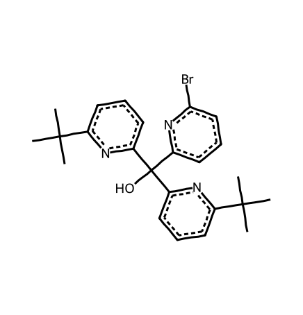 CC(C)(C)c1cccc(C(O)(c2cccc(Br)n2)c2cccc(C(C)(C)C)n2)n1